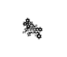 CC(C)c1nc(CN(C)C(=O)N[C@@H](Cc2cn(C(c3ccccc3)(c3ccccc3)c3ccccc3)cn2)C(=O)N[C@H](CC[C@H](Cc2ccccc2)NC(=O)OCc2cncs2)Cc2ccccc2)cs1